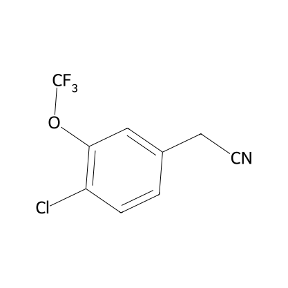 N#CCc1ccc(Cl)c(OC(F)(F)F)c1